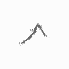 C=CC(=O)OCCCCCCOC(=O)Oc1ccc(C=CC(=O)Oc2ccc3c(c2)C(C)c2cc(OC(=O)C=C(C)c4ccc(OC(=O)OCCCCCCOC(=O)C=C)cc4)ccc2-3)cc1